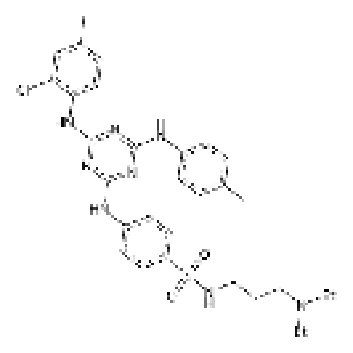 CCN(CC)CCCNS(=O)(=O)c1ccc(Nc2nc(Nc3ccc(C)cc3)nc(Nc3ccc(C)cc3Cl)n2)cc1